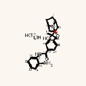 CC(C)(O)CN1C2CCC1CC(Oc1ccc(C(=O)Nc3ccccc3N)cc1)C2.Cl.Cl